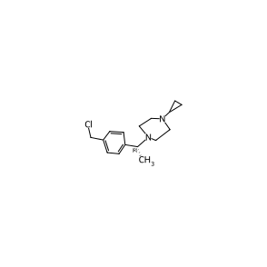 C[C@H](c1ccc(CCl)cc1)N1CCN(C2CC2)CC1